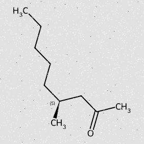 CCCCC[C@H](C)CC(C)=O